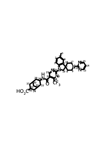 Cc1ccc2c(c1)C1(CCN(c3ncccn3)CC1)CN2c1ncc(C(=O)NC2CC3CC(C2)CC(C(=O)O)C3)c(C(F)(F)F)n1